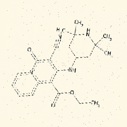 CCOC(=O)c1c(NC2CC(C)(C)NC(C)(C)C2)c(C#N)c(=O)n2ccccc12